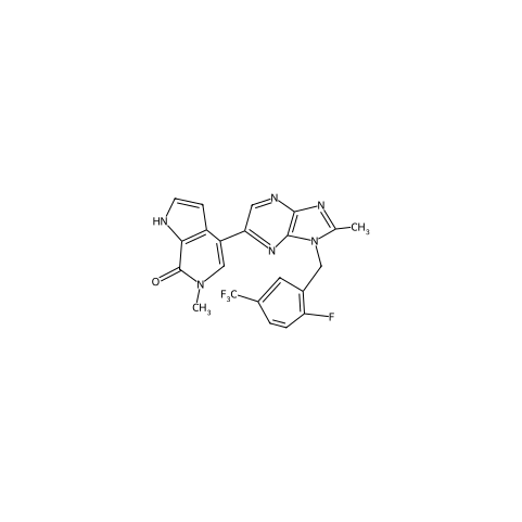 Cc1nc2ncc(-c3cn(C)c(=O)c4[nH]ccc34)nc2n1Cc1cc(C(F)(F)F)ccc1F